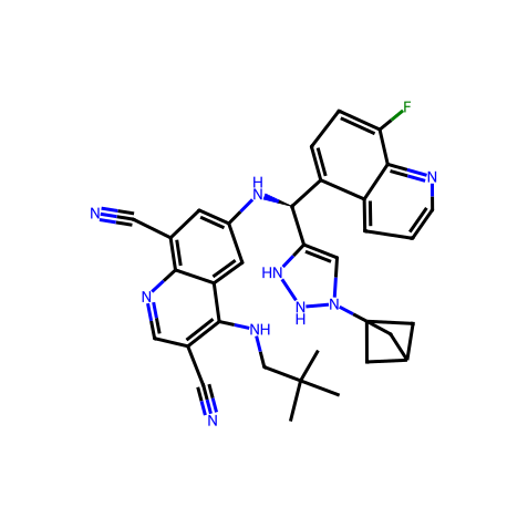 CC(C)(C)CNc1c(C#N)cnc2c(C#N)cc(N[C@H](C3=CN(C45CC(C4)C5)NN3)c3ccc(F)c4ncccc34)cc12